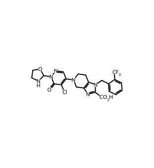 O=C(O)c1nc2c(n1Cc1ccccc1C(F)(F)F)CCN(c1cnn(C3NCCO3)c(=O)c1Cl)C2